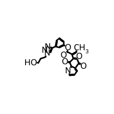 Cc1oc2c(c1C(=O)Oc1cccc(-c3cn(CCCO)nn3)c1)C(=O)c1ncccc1C2=O